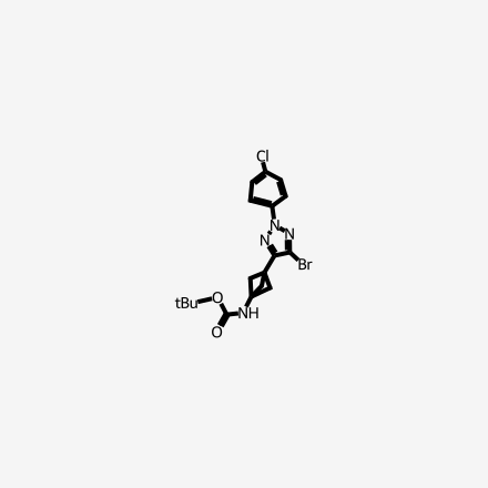 CC(C)(C)OC(=O)NC12CC(c3nn(-c4ccc(Cl)cc4)nc3Br)(C1)C2